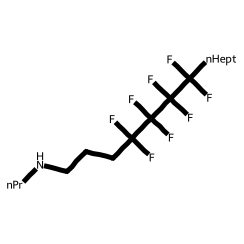 CCCCCCCC(F)(F)C(F)(F)C(F)(F)C(F)(F)CCCNCCC